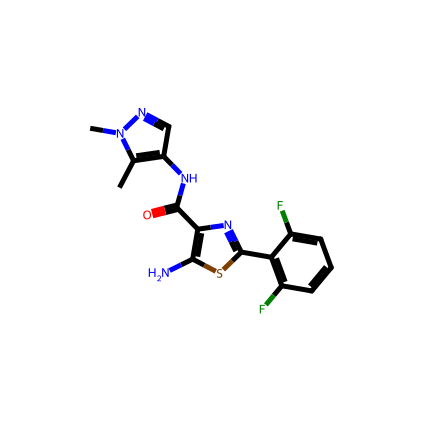 Cc1c(NC(=O)c2nc(-c3c(F)cccc3F)sc2N)cnn1C